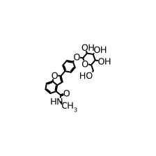 CNC(=O)c1cccc2oc(-c3ccc(OC4OC(CO)C(O)C(O)C4O)cc3)cc12